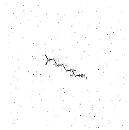 CN(C)NNNNNNN